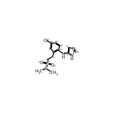 CN(C)S(=O)(=O)CCc1cc(Cl)ccc1Nc1cnn[nH]1